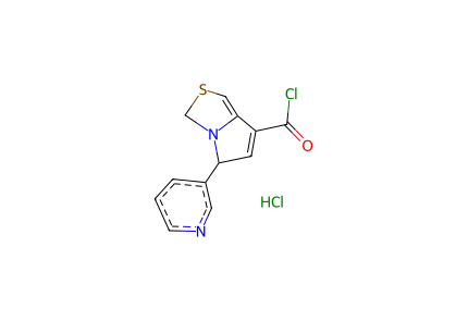 Cl.O=C(Cl)C1=CC(c2cccnc2)N2CSC=C12